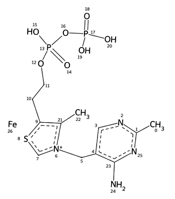 Cc1ncc(C[n+]2csc(CCOP(=O)(O)OP(=O)(O)O)c2C)c(N)n1.[Fe]